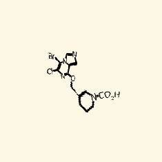 O=C(O)N1CCC[C@@H](COc2nc(Cl)c(Br)n3cncc23)C1